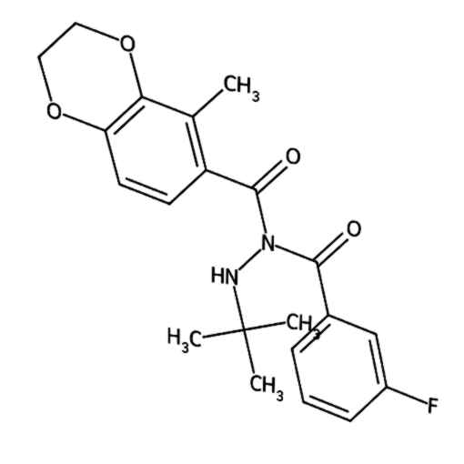 Cc1c(C(=O)N(NC(C)(C)C)C(=O)c2cccc(F)c2)ccc2c1OCCO2